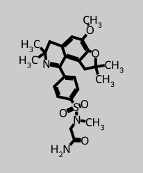 COc1cc2c(c3c1OC(C)(C)C3)C(c1ccc(S(=O)(=O)N(C)CC(N)=O)cc1)=NC(C)(C)C2